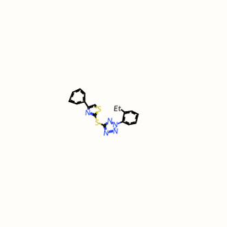 CCc1ccccc1-n1nnc(Sc2nc(-c3ccccc3)cs2)n1